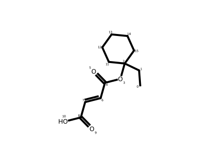 CCC1(OC(=O)C=CC(=O)O)CCCCC1